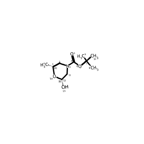 C[C@@H]1CN(C(=O)OC(C)(C)C)C[C@H](O)O1